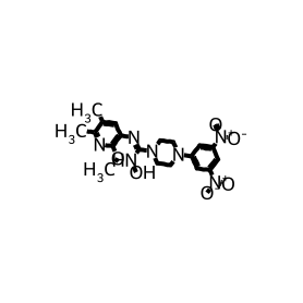 COc1nc(C)c(C)cc1N=C(NO)N1CCN(c2cc([N+](=O)[O-])cc([N+](=O)[O-])c2)CC1